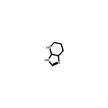 C1=NC2CCCNC2N1